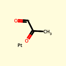 CC(=O)[C]=O.[Pt]